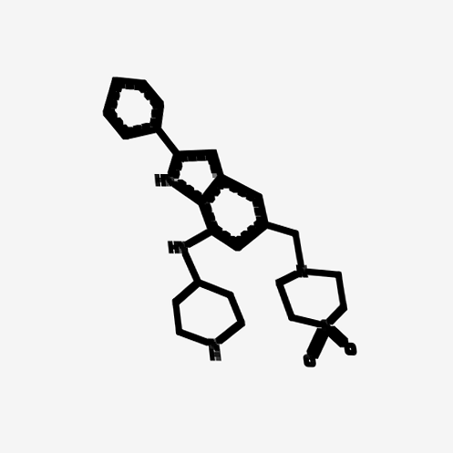 O=S1(=O)CCN(Cc2cc(NC3CCNCC3)c3[nH]c(-c4ccccc4)cc3c2)CC1